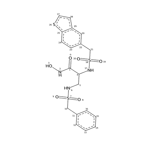 O=C(NO)C(CNS(=O)(=O)Cc1ccccc1)NS(=O)(=O)Cc1ccc2sccc2c1